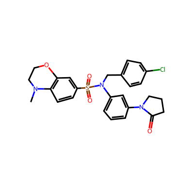 CN1CCOc2cc(S(=O)(=O)N(Cc3ccc(Cl)cc3)c3cccc(N4CCCC4=O)c3)ccc21